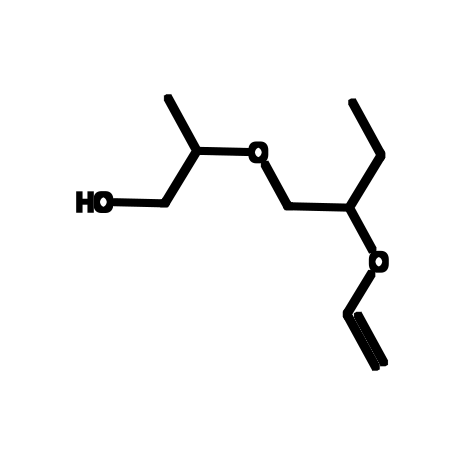 C=COC(CC)COC(C)CO